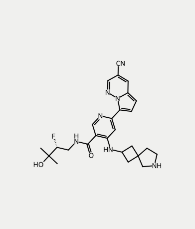 CC(C)(O)[C@H](F)CNC(=O)c1cnc(-c2ccc3cc(C#N)cnn23)cc1NC1CC2(CCNC2)C1